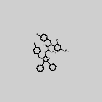 Cc1ccc(N(Cc2ccc(F)cc2)C(=O)C(C)Sc2nc(-c3ccccc3)c(-c3ccccc3)n2Cc2ccc(F)cc2)c(Cl)c1